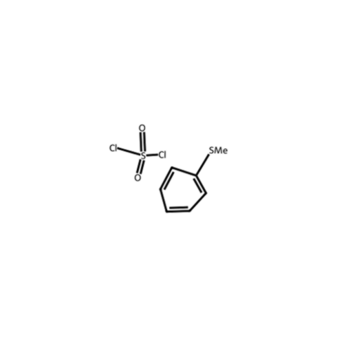 CSc1ccccc1.O=S(=O)(Cl)Cl